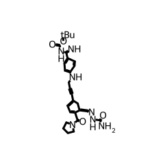 CC(C)(C)OC(=O)NC(=N)c1ccc(NCC#CC2=CC=C(C(=O)N3CCCC3)C(=C=NNC(N)=O)C2)cc1